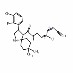 C#C/C=C\C(Cl)=C/CNC(=O)C1C(c2cccc(Cl)c2F)CNC12CCC(C)(C)CC2